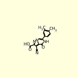 Cc1ccc(-c2cn3nc(C(=O)O)c(C#N)c3c(=O)[nH]2)cc1C